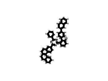 c1ccc(-c2nc(-c3ccc4c(ccc5ccc6ccccc6c54)c3)nc(-c3cccc4oc5cc(-c6ccc7ccccc7c6)ccc5c34)n2)cc1